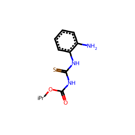 CC(C)OC(=O)NC(=S)Nc1ccccc1N